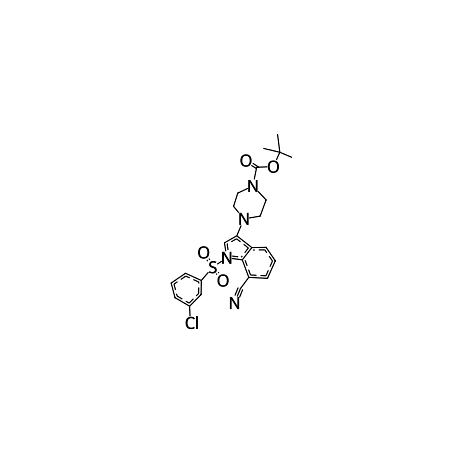 CC(C)(C)OC(=O)N1CCN(c2cn(S(=O)(=O)c3cccc(Cl)c3)c3c(C#N)cccc23)CC1